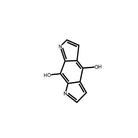 Oc1c2c(c(O)c3c1=CC=N3)=NC=C2